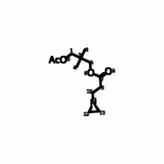 CC(=O)OCC(C)(C)COC(=O)CCN1CC1